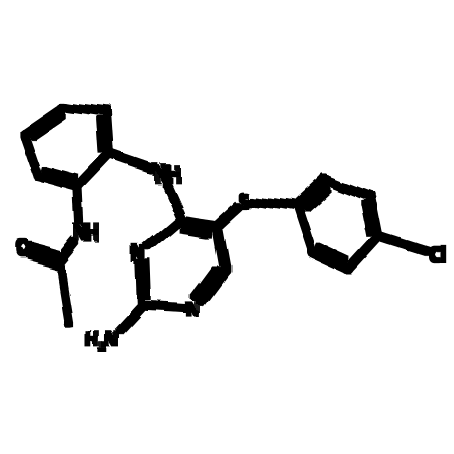 CC(=O)Nc1ccccc1Nc1nc(N)ncc1Sc1ccc(Cl)cc1